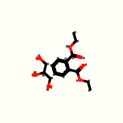 CCOC(=O)c1ccccc1C(=O)OCC.OCC(O)CO